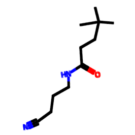 CC(C)(C)CCC(=O)NCCCC#N